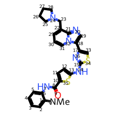 CNc1ccccc1NC(=O)c1ccc(Nc2nc(-c3cnc4c(CN5CCCC5)cccn34)cs2)s1